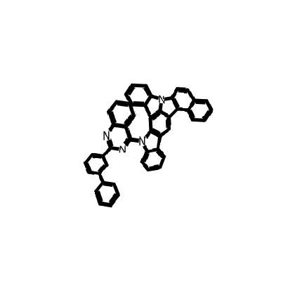 c1ccc(-c2cccc(-c3nc(-n4c5ccccc5c5cc6c7c8ccccc8ccc7n7c8ccccc8c(c54)c67)c4ccccc4n3)c2)cc1